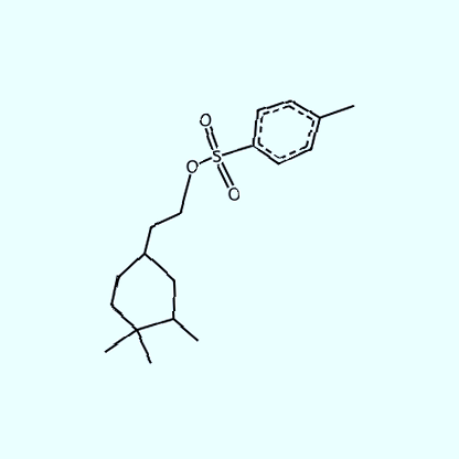 Cc1ccc(S(=O)(=O)OCCC2CCC(C)(C)C(C)C2)cc1